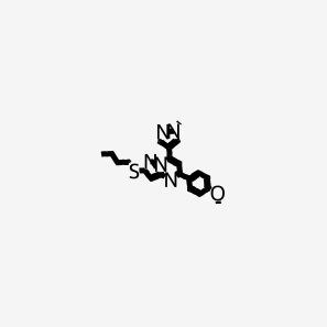 CCCCSc1cc2nc(-c3ccc(OC)cc3)cc(-c3cnn(C)c3)n2n1